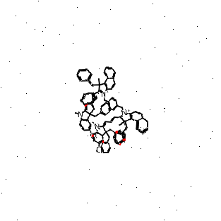 CN1/C(=C/C=C/C2=[N+](Cc3ccc(C[N+]4=C(/C=C/C=C5/N(C)c6ccc(Cl)cc6C5(Cc5ccccc5)Cc5ccccc5)C(C)(Cc5ccccc5)c5c4ccc4ccccc54)cc3)c3ccc4ccccc4c3C2(C)Cc2ccccc2)C(Cc2ccccc2)(Cc2ccccc2)c2cc(Cl)ccc21